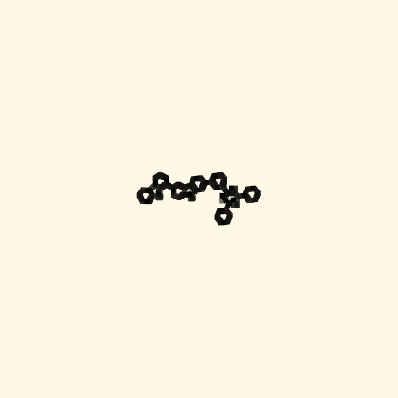 c1ccc(-c2nc(-c3ccccc3)nc(-c3cccc(-c4ccc5c(c4)sc4ccc(-c6cccc7c6sc6ccccc67)cc45)c3)n2)cc1